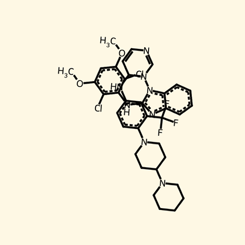 COc1cc(OC)c(Cl)c(Nc2nc3ccccc3n2N2C=NC=CC2Nc2ccc(N3CCC(N4CCCCC4)CC3)c(C(F)(F)F)c2)c1Cl